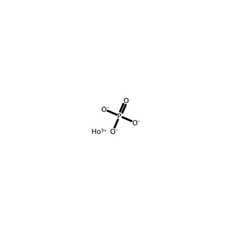 O=P([O-])([O-])[O-].[Ho+3]